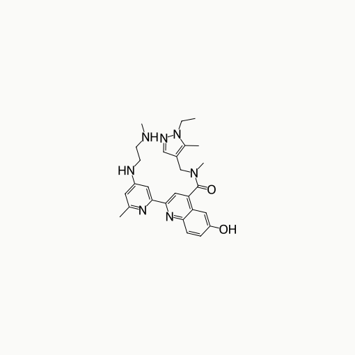 CCn1ncc(CN(C)C(=O)c2cc(-c3cc(NCCNC)cc(C)n3)nc3ccc(O)cc23)c1C